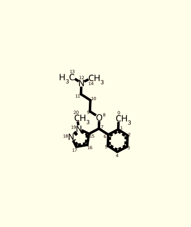 Cc1ccccc1C(OCCCN(C)C)c1ccnn1C